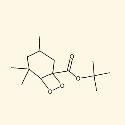 CC1CC(C)(C)C2OOC2(C(=O)OC(C)(C)C)C1